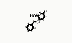 Cc1ccc(SCc2ccccc2)c(O)n1